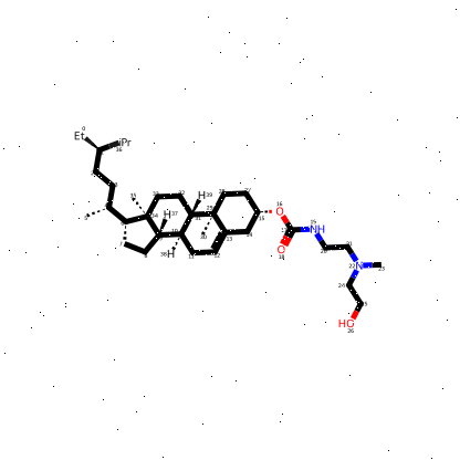 CC[C@H](CC[C@@H](C)[C@H]1CC[C@H]2[C@@H]3CC=C4C[C@@H](OC(=O)NCCN(C)CCO)CC[C@]4(C)[C@H]3CC[C@]12C)C(C)C